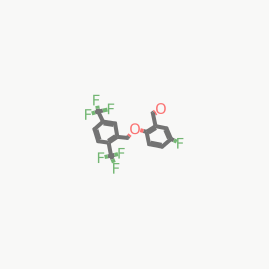 O=Cc1cc(F)ccc1OCc1cc(C(F)(F)F)ccc1C(F)(F)F